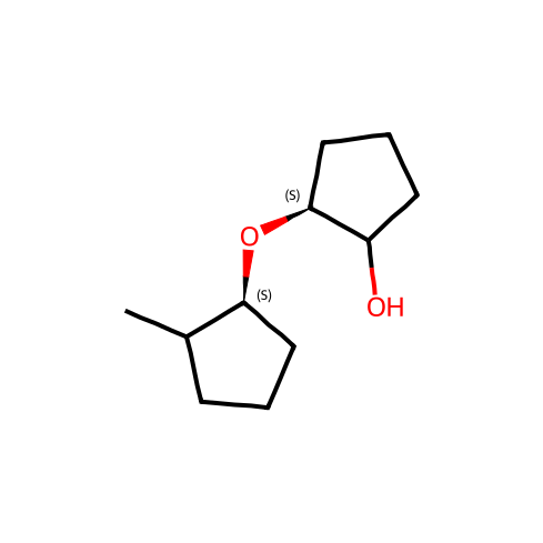 CC1CCC[C@@H]1O[C@H]1CCCC1O